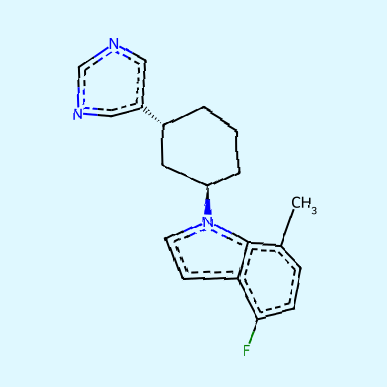 Cc1ccc(F)c2ccn([C@@H]3CCC[C@@H](c4cncnc4)C3)c12